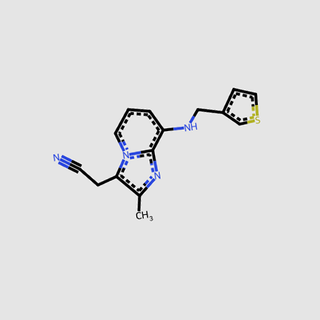 Cc1nc2c(NCc3ccsc3)cccn2c1CC#N